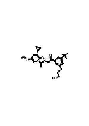 C=C1N(CC(=O)c2cc(OCCO)cc(C(C)(C)C)c2)N=C2C(C3CC3)=CC(OCC)=NN12